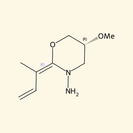 C=C/C(C)=C1/OC[C@H](OC)CN1N